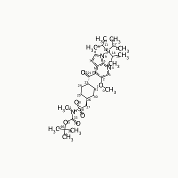 COc1cnc2c(ccn2[Si](C(C)C)(C(C)C)C(C)C)c1C(=O)[C@H]1CC[C@H](CS(=O)(=O)N(C)C(=O)OC(C)(C)C)CC1